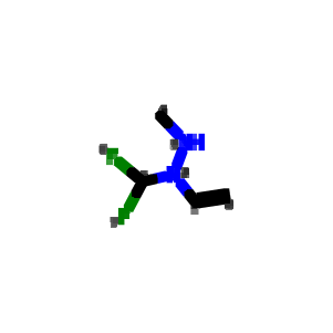 C=CN(NC)C(F)F